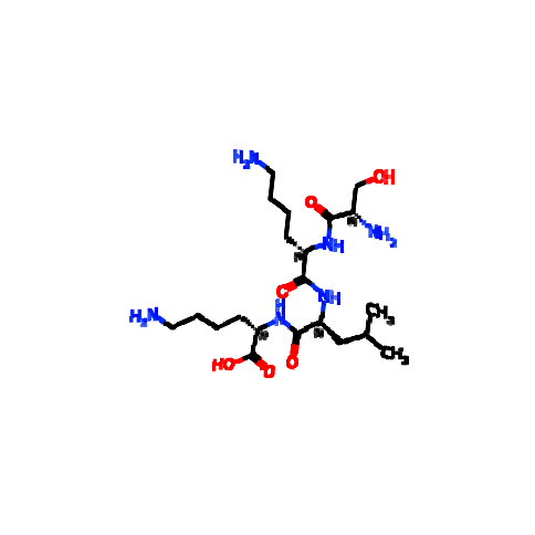 CC(C)C[C@H](NC(=O)[C@H](CCCCN)NC(=O)[C@@H](N)CO)C(=O)N[C@@H](CCCCN)C(=O)O